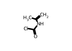 C=C(C)NC(=O)Cl